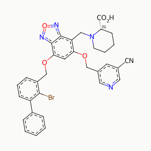 N#Cc1cncc(COc2cc(OCc3cccc(-c4ccccc4)c3Br)c3nonc3c2CN2CCCC[C@H]2C(=O)O)c1